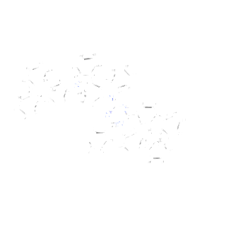 c1ccc(-c2nc(-c3cccc4c3-c3ccccc3C4(c3ccccc3)c3ccccc3)nc(-n3c4ccccc4c4c5c6ccccc6n(-c6ccc7c8ccccc8c8ccccc8c7c6)c5ccc43)n2)cc1